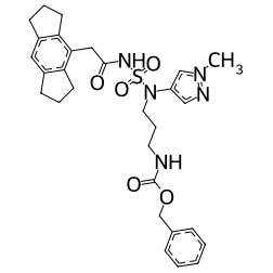 Cn1cc(N(CCCNC(=O)OCc2ccccc2)S(=O)(=O)NC(=O)Cc2c3c(cc4c2CCC4)CCC3)cn1